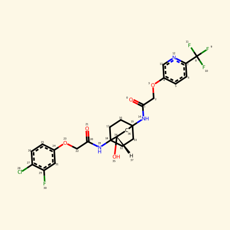 O=C(COc1ccc(C(F)(F)F)nc1)NC12CCC(NC(=O)COc3ccc(Cl)c(F)c3)(CC1)[C@@H](O)C2